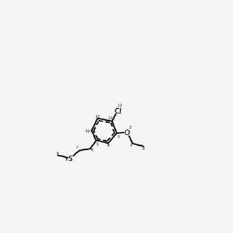 CCOc1cc(CCSC)ccc1Cl